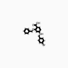 O=C(O)c1ccc(NCc2ccc(Br)cc2)cc1OCc1ccccc1